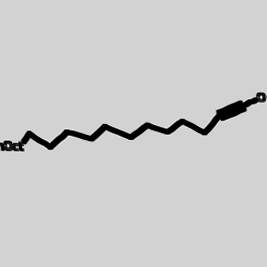 CCCCCCCCCCCCCCCCCCC#C[O]